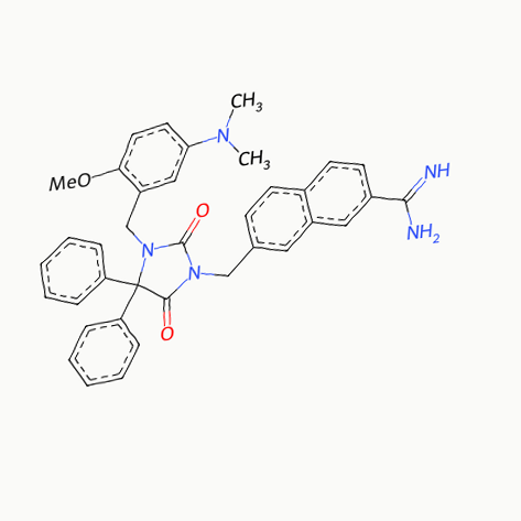 COc1ccc(N(C)C)cc1CN1C(=O)N(Cc2ccc3ccc(C(=N)N)cc3c2)C(=O)C1(c1ccccc1)c1ccccc1